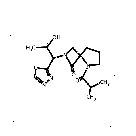 CC(C)C(=O)N1CCCC12CN(C(c1nnco1)C(C)O)C2=O